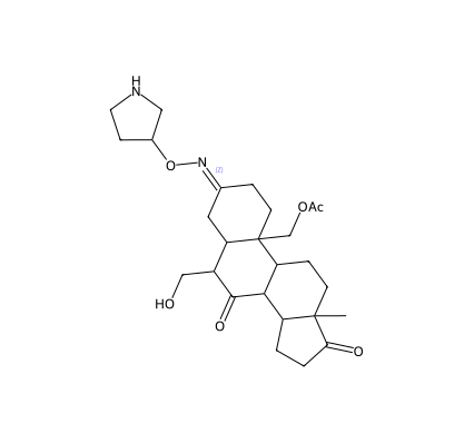 CC(=O)OCC12CC/C(=N/OC3CCNC3)CC1C(CO)C(=O)C1C3CCC(=O)C3(C)CCC12